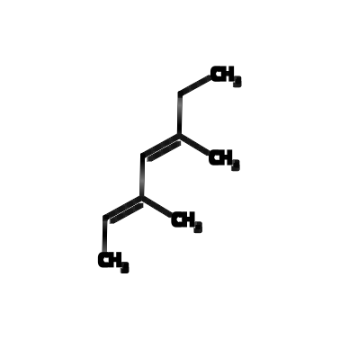 C/C=C(C)/C=C(\C)CC